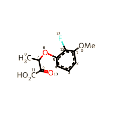 COc1cccc(OC(C)C(=O)C(=O)O)c1F